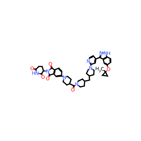 CC1(Oc2ccc3[nH]nc(-c4ccnc(N5CCC(CC6CCN(C(=O)C7CCN(c8ccc9c(c8)C(=O)N(C8CCC(=O)NC8=O)C9=O)CC7)CC6)CC5)c4)c3c2)CC1